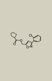 O=C(OCc1cc(-c2ccccc2Cl)no1)C1CCCC1